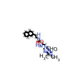 Cc1c(/N=C\N(C=O)CC(=N)OC(=O)NCCc2ccc3ccccc3c2)ncn1C